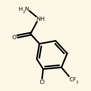 NNC(=O)c1ccc(C(F)(F)F)c(Cl)c1